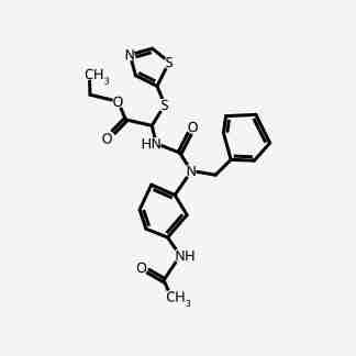 CCOC(=O)C(NC(=O)N(Cc1ccccc1)c1cccc(NC(C)=O)c1)Sc1cncs1